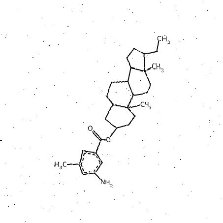 CCC1CCC2C3CCC4CC(OC(=O)c5cc(C)cc(N)c5)CCC4(C)C3CCC12C